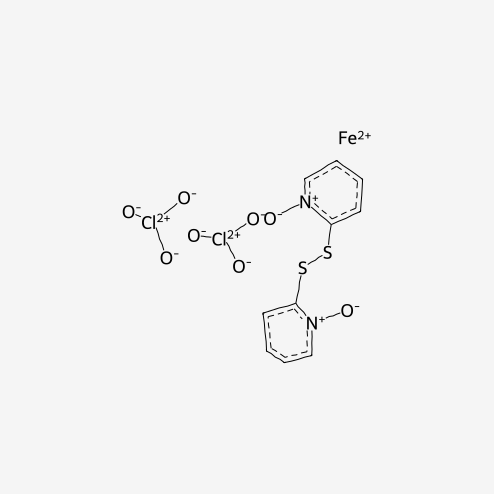 [Fe+2].[O-][Cl+2]([O-])[O-].[O-][Cl+2]([O-])[O-].[O-][n+]1ccccc1SSc1cccc[n+]1[O-]